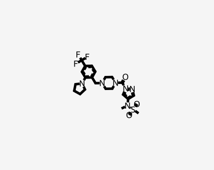 CN(c1cnn(C(=O)N2CCN(Cc3ccc(C(F)(F)F)cc3N3CCCC3)CC2)c1)S(C)(=O)=O